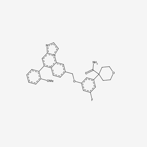 COc1ccccc1-c1cc2nccn2c2cc(COc3cc(F)cc(C4(C(N)=O)CCOCC4)c3)ccc12